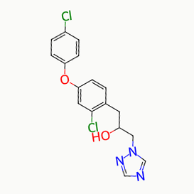 OC(Cc1ccc(Oc2ccc(Cl)cc2)cc1Cl)Cn1cncn1